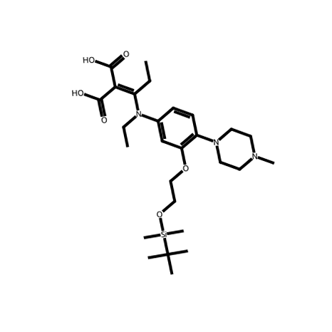 CCC(=C(C(=O)O)C(=O)O)N(CC)c1ccc(N2CCN(C)CC2)c(OCCO[Si](C)(C)C(C)(C)C)c1